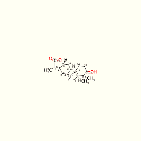 CC1=C2C=C3CC[C@@H]4C(C)(C)[C@H](O)CC[C@@]4(C)[C@@H]3C[C@H]2OC1=O